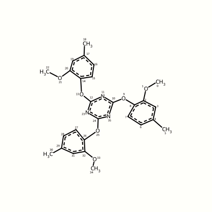 COc1cc(C)ccc1Oc1nc(Oc2ccc(C)cc2OC)nc(Oc2ccc(C)cc2OC)n1